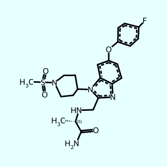 C[C@H](NCc1nc2ccc(Oc3ccc(F)cc3)cc2n1C1CCN(S(C)(=O)=O)CC1)C(N)=O